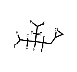 FC(F)C(F)(F)C(F)(C(F)(F)CC1CO1)C(F)(F)C(F)F